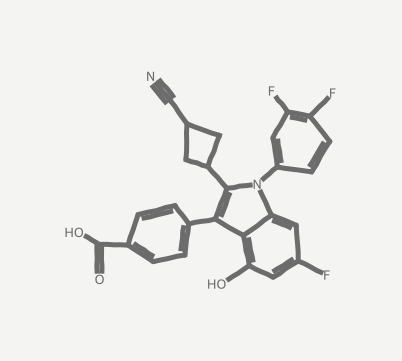 N#CC1CC(c2c(-c3ccc(C(=O)O)cc3)c3c(O)cc(F)cc3n2-c2ccc(F)c(F)c2)C1